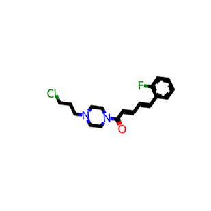 O=C(C=CC=Cc1ccccc1F)N1CCN(CCCCl)CC1